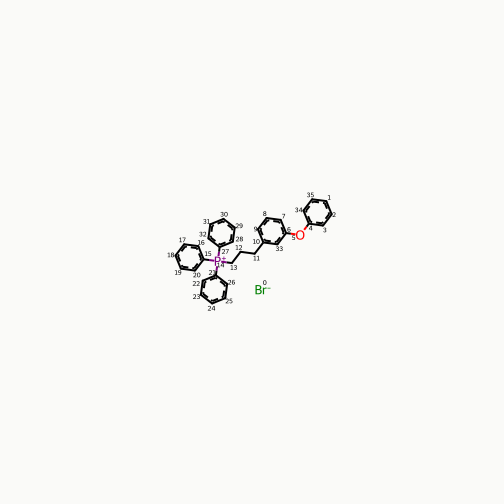 [Br-].c1ccc(Oc2cccc(CCC[P+](c3ccccc3)(c3ccccc3)c3ccccc3)c2)cc1